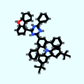 CC(C)(C)c1ccc2c(c1)c1cc(C(C)(C)C)ccc1n2-c1c(-c2ccccc2)cc(-c2nc(-c3ccccc3)nc(-c3cccc4oc5ccccc5c34)n2)cc1-c1ccccc1